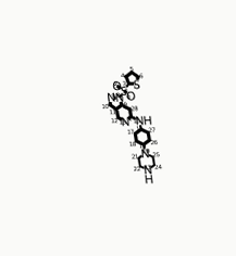 O=S(=O)(c1cccs1)n1ncc2cnc(Nc3ccc(N4CCNCC4)cc3)cc21